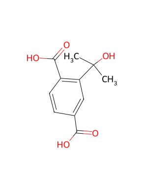 CC(C)(O)c1cc(C(=O)O)ccc1C(=O)O